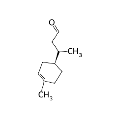 CC1=CC[C@@H](C(C)CC=O)CC1